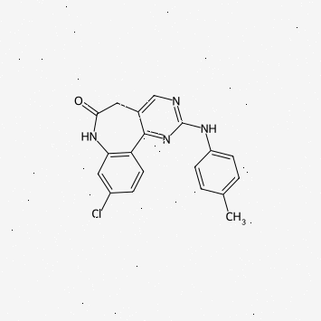 Cc1ccc(Nc2ncc3c(n2)-c2ccc(Cl)cc2NC(=O)C3)cc1